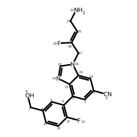 N#Cc1cc(-c2cc(CO)ccc2F)c2ncn(C/C(F)=C/CN)c2c1